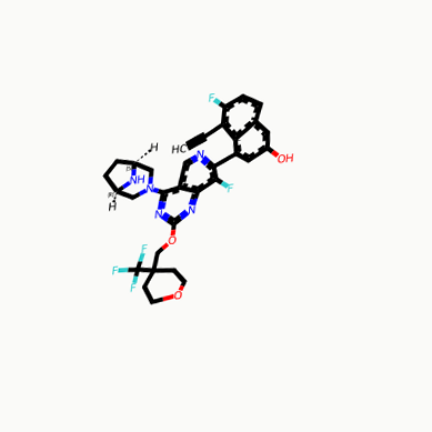 C#Cc1c(F)ccc2cc(O)cc(-c3ncc4c(N5C[C@H]6CC[C@@H](C5)N6)nc(OCC5(C(F)(F)F)CCOCC5)nc4c3F)c12